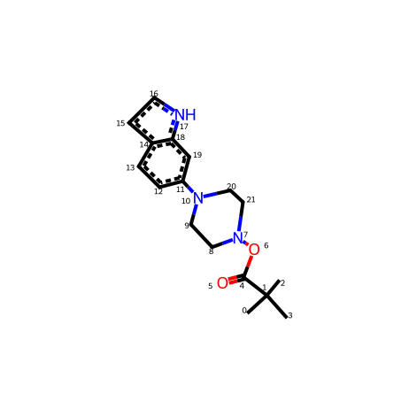 CC(C)(C)C(=O)ON1CCN(c2ccc3cc[nH]c3c2)CC1